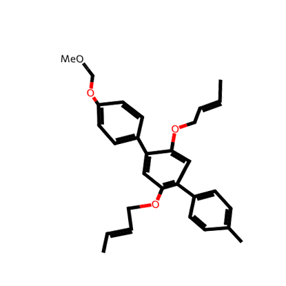 C/C=C/COc1cc(-c2ccc(OCOC)cc2)c(OC/C=C/C)cc1-c1ccc(C)cc1